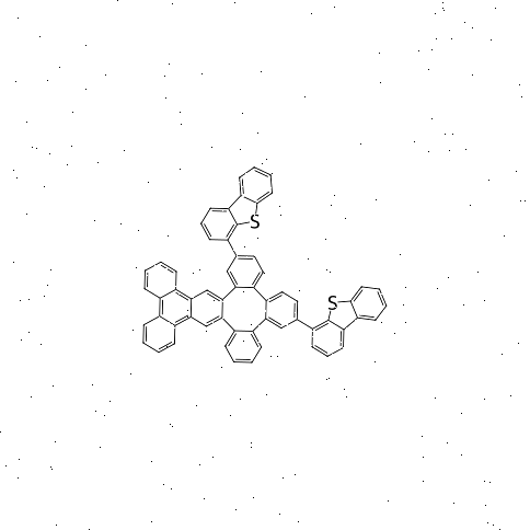 c1ccc2c(c1)-c1cc(-c3cccc4c3sc3ccccc34)ccc1-c1ccc(-c3cccc4c3sc3ccccc34)cc1-c1cc3c4ccccc4c4ccccc4c3cc1-2